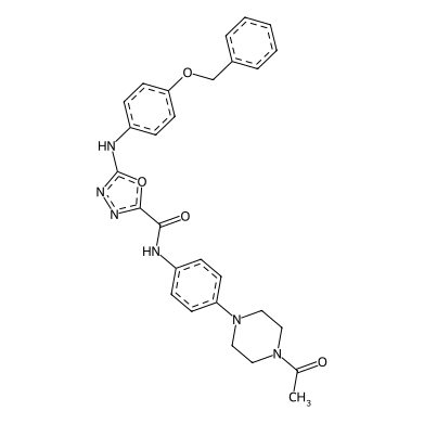 CC(=O)N1CCN(c2ccc(NC(=O)c3nnc(Nc4ccc(OCc5ccccc5)cc4)o3)cc2)CC1